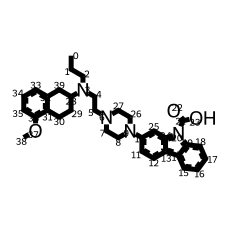 CCCN(CCN1CCN(c2ccc3c4ccccc4n(C(=O)O)c3c2)CC1)C1CCc2c(cccc2OC)C1